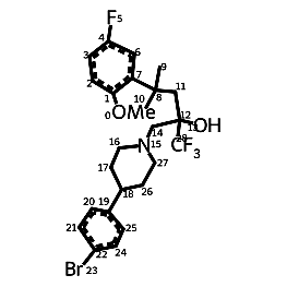 COc1ccc(F)cc1C(C)(C)CC(O)(CN1CCC(c2ccc(Br)cc2)CC1)C(F)(F)F